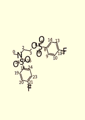 CN(CCOS(=O)(=O)c1ccc(F)cc1)S(=O)(=O)c1ccc(F)cc1